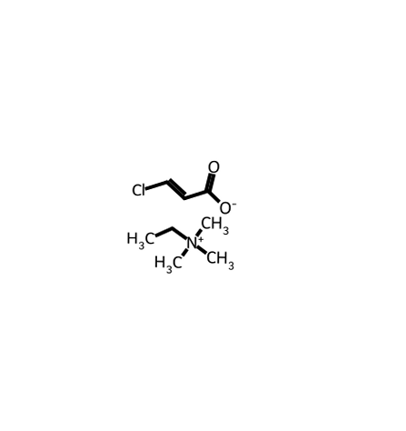 CC[N+](C)(C)C.O=C([O-])C=CCl